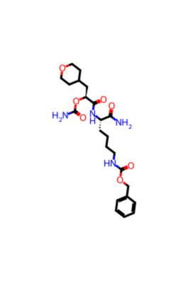 NC(=O)O[C@@H](CC1CCOCC1)C(=O)N[C@@H](CCCCNC(=O)OCc1ccccc1)C(N)=O